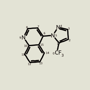 FC(F)(F)c1ccnn1-c1ccnc2ccccc12